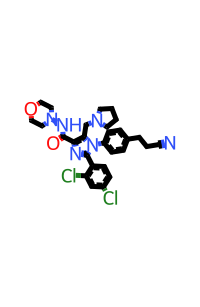 N#CCCc1ccc(-n2c(-c3ccc(Cl)cc3Cl)nc(C(=O)NN3CCOCC3)c2CN2CCCC2)cc1